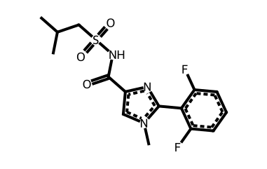 CC(C)CS(=O)(=O)NC(=O)c1cn(C)c(-c2c(F)cccc2F)n1